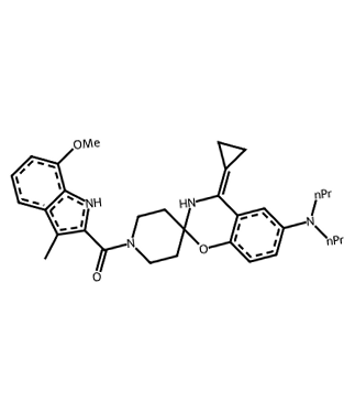 CCCN(CCC)c1ccc2c(c1)C(=C1CC1)NC1(CCN(C(=O)c3[nH]c4c(OC)cccc4c3C)CC1)O2